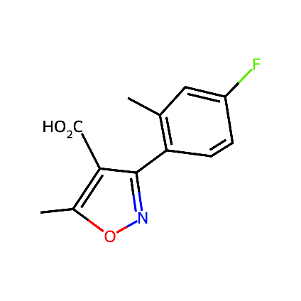 Cc1cc(F)ccc1-c1noc(C)c1C(=O)O